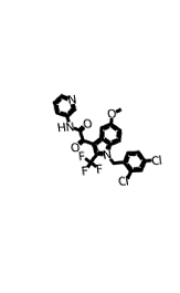 COc1ccc2c(c1)c(C(=O)C(=O)Nc1cccnc1)c(C(F)(F)F)n2Cc1ccc(Cl)cc1Cl